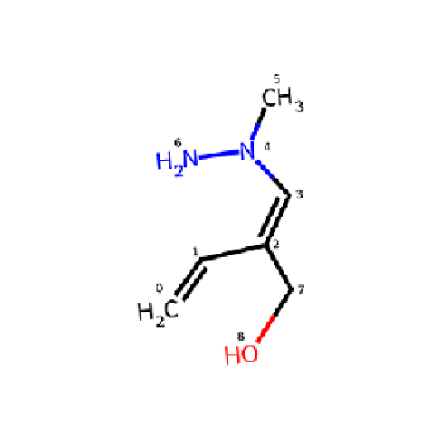 C=C/C(=C\N(C)N)CO